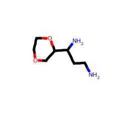 NCCC(N)C1COCCO1